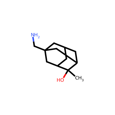 CC1(O)C2CC3CC1CC(CN)(C3)C2